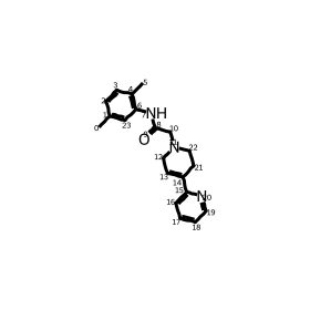 Cc1ccc(C)c(NC(=O)CN2CC=C(c3ccccn3)CC2)c1